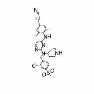 Cc1cc(/C=C/C#N)cc(C)c1Nc1ccnc(N(Cc2ccc(S(C)(=O)=O)cc2Cl)C2CCNCC2)n1